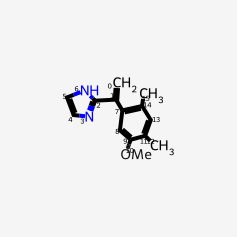 C=C(c1ncc[nH]1)c1cc(OC)c(C)cc1C